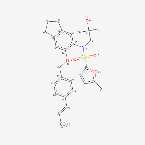 Cc1ccc(S(=O)(=O)N(CC(C)(C)O)c2cc3c(cc2OCc2ccc(/C=C/C(=O)O)cc2)CCC3)o1